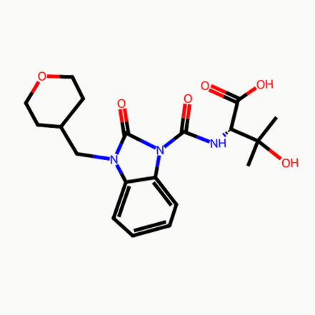 CC(C)(O)[C@H](NC(=O)n1c(=O)n(CC2CCOCC2)c2ccccc21)C(=O)O